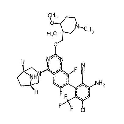 CO[C@H]1CCN(C)C[C@@]1(C)COc1nc(N2C[C@H]3CC[C@@H](C2)N3)c2cc(F)c(-c3c(C#N)c(N)cc(Cl)c3C(F)(F)F)c(F)c2n1